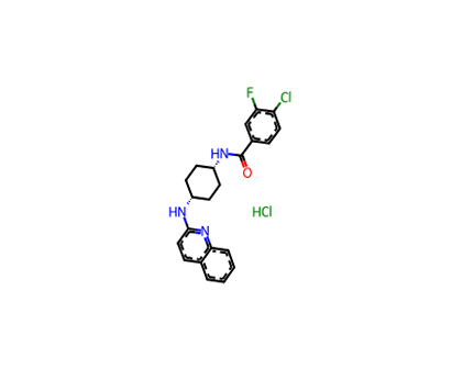 Cl.O=C(N[C@H]1CC[C@@H](Nc2ccc3ccccc3n2)CC1)c1ccc(Cl)c(F)c1